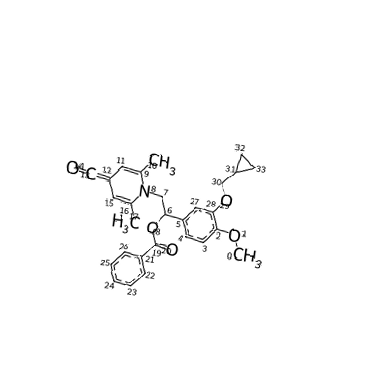 COc1ccc(C(CN2C(C)=CC(=C=O)C=C2C)OC(=O)c2ccccc2)cc1OCC1CC1